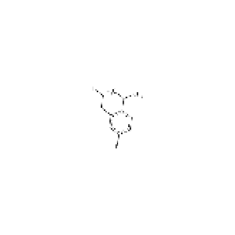 CC(C)c1ccc(F)cc1CCF